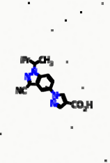 CC(C)C(C)n1nc(C#N)c2cc(-n3cc(C(=O)O)cn3)ccc21